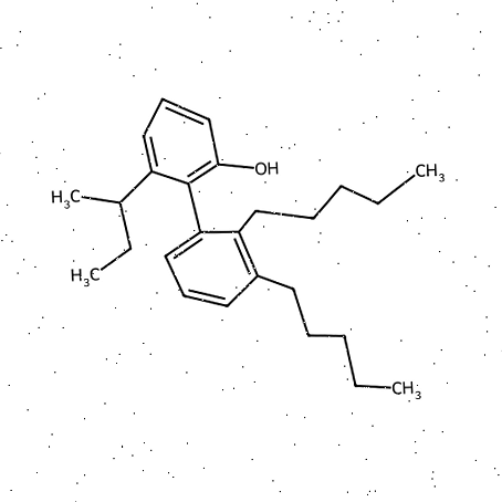 CCCCCc1cccc(-c2c(O)cccc2C(C)CC)c1CCCCC